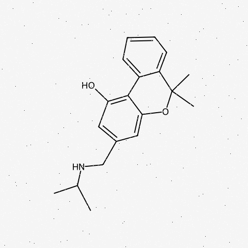 CC(C)NCc1cc(O)c2c(c1)OC(C)(C)c1ccccc1-2